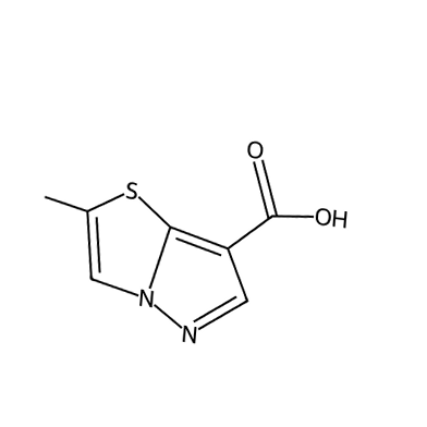 Cc1cn2ncc(C(=O)O)c2s1